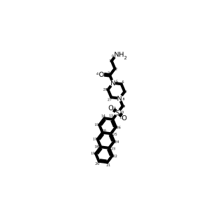 NCCC(=O)N1CCN(CS(=O)(=O)c2ccc3cc4ccccc4cc3c2)CC1